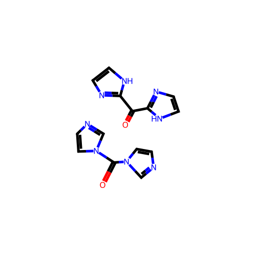 O=C(c1ncc[nH]1)c1ncc[nH]1.O=C(n1ccnc1)n1ccnc1